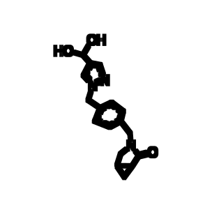 O=C1C2CC2CN1Cc1ccc(Cn2cc(C(O)O)cn2)cc1